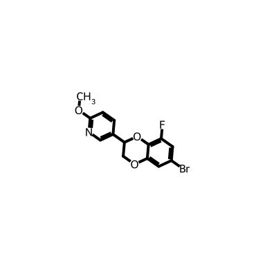 COc1ccc(C2COc3cc(Br)cc(F)c3O2)cn1